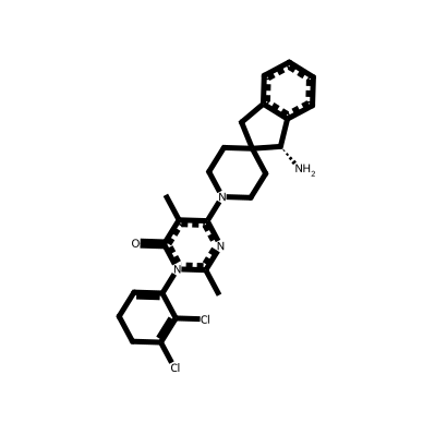 Cc1c(N2CCC3(CC2)Cc2ccccc2[C@@H]3N)nc(C)n(C2=CCCC(Cl)=C2Cl)c1=O